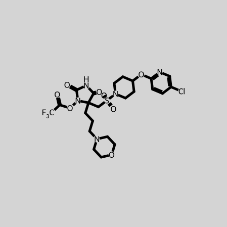 O=C1NC(=O)C(CCCN2CCOCC2)(CS(=O)(=O)N2CCC(Oc3ccc(Cl)cn3)CC2)N1OC(=O)C(F)(F)F